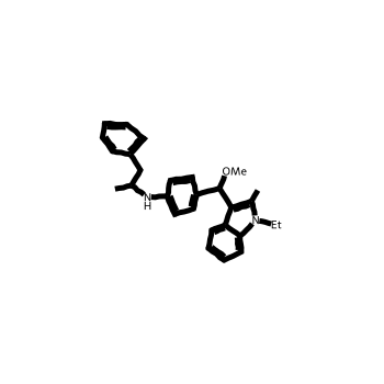 CCn1c(C)c(C(OC)c2ccc(NC(C)Cc3ccccc3)cc2)c2ccccc21